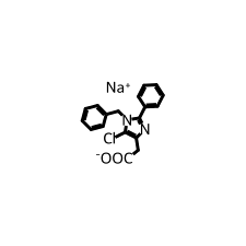 O=C([O-])Cc1nc(-c2ccccc2)n(Cc2ccccc2)c1Cl.[Na+]